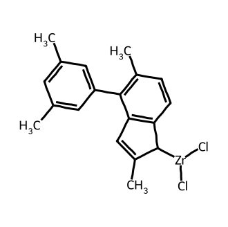 CC1=Cc2c(ccc(C)c2-c2cc(C)cc(C)c2)[CH]1[Zr]([Cl])[Cl]